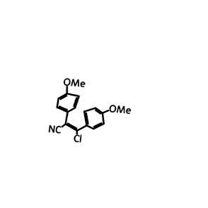 COc1ccc(C(Cl)=C(C#N)c2ccc(OC)cc2)cc1